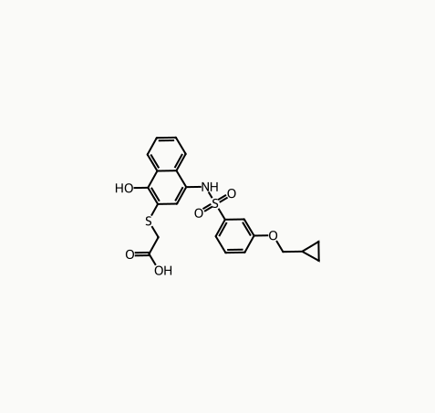 O=C(O)CSc1cc(NS(=O)(=O)c2cccc(OCC3CC3)c2)c2ccccc2c1O